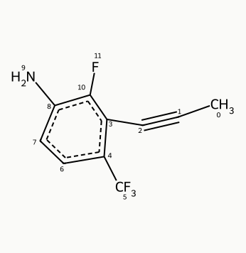 CC#Cc1c(C(F)(F)F)ccc(N)c1F